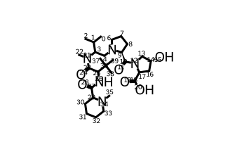 CC(C)C(CN1CCC[C@H]1C(=O)N1C[C@H](O)CC1C(=O)O)N(C)C(=O)C(NC(=O)C1CCCCN1C)C(C)(C)C